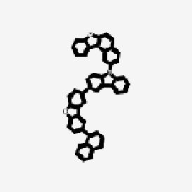 c1ccc2c(-c3ccc4oc5ccc(-c6ccc7c(c6)c6ccccc6n7-c6ccc7ccc8sc9ccccc9c8c7c6)cc5c4c3)cccc2c1